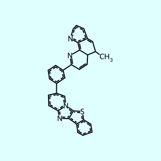 CC1C=c2cccnc2=C2N=C(c3cccc(-c4ccc5nc6c7ccccc7sc6n5c4)c3)C=CC21